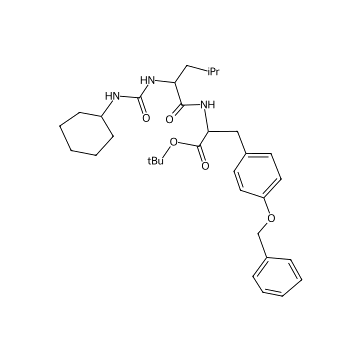 CC(C)CC(NC(=O)NC1CCCCC1)C(=O)NC(Cc1ccc(OCc2ccccc2)cc1)C(=O)OC(C)(C)C